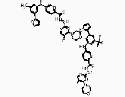 Cc1cc(Nc2ccc(C(=O)NNc3ncc(F)c(N4CCOC([SH]5C=CC=C5c5cc(Nc6ccc(C(=O)NNc7ncc(F)c(N8CCOCC8)n7)nc6)cc(C(F)(F)F)c5)C4)n3)nc2)cc(-c2ccco2)c1